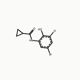 O=C(Nc1cc(Br)cc(Cl)c1O)C1CC1